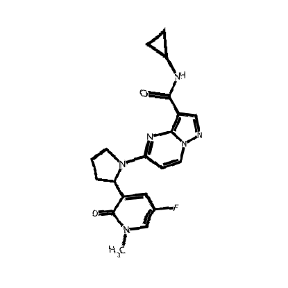 Cn1cc(F)cc(C2CCCN2c2ccn3ncc(C(=O)NC4CC4)c3n2)c1=O